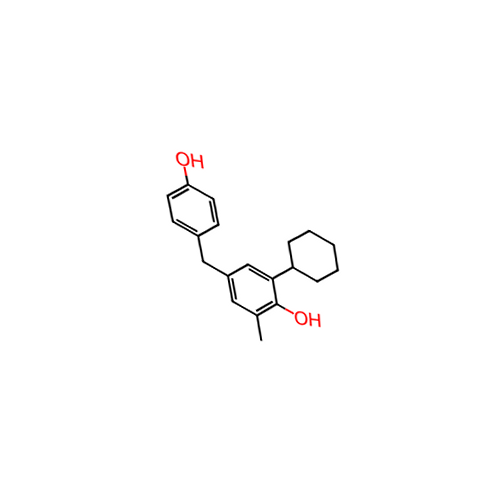 Cc1cc(Cc2ccc(O)cc2)cc(C2CCCCC2)c1O